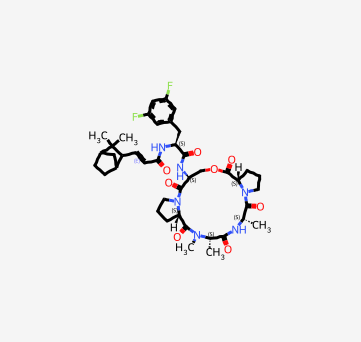 C[C@@H]1NC(=O)[C@H](C)N(C)C(=O)[C@@H]2CCCN2C(=O)[C@@H](NC(=O)[C@H](Cc2cc(F)cc(F)c2)NC(=O)/C=C/C2C3CCC(C3)C2(C)C)COC(=O)[C@@H]2CCCN2C1=O